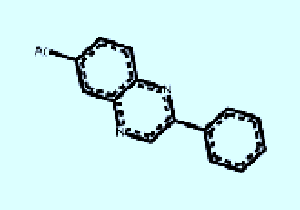 CC(=O)c1ccc2nc(-c3ccccc3)cnc2c1